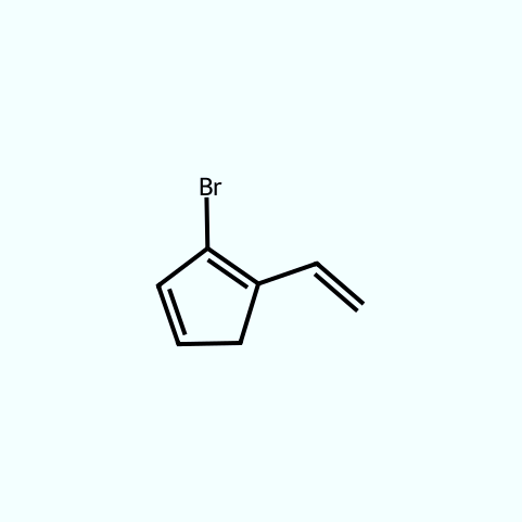 C=CC1=C(Br)C=CC1